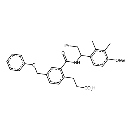 COc1ccc(C(CC(C)C)NC(=O)c2cc(COc3ccccc3)ccc2CCC(=O)O)c(C)c1C